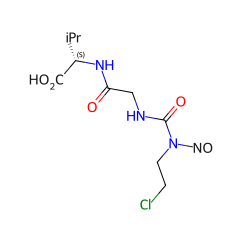 CC(C)[C@H](NC(=O)CNC(=O)N(CCCl)N=O)C(=O)O